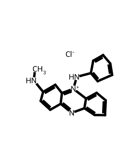 CNc1ccc2nc3ccccc3[n+](Nc3ccccc3)c2c1.[Cl-]